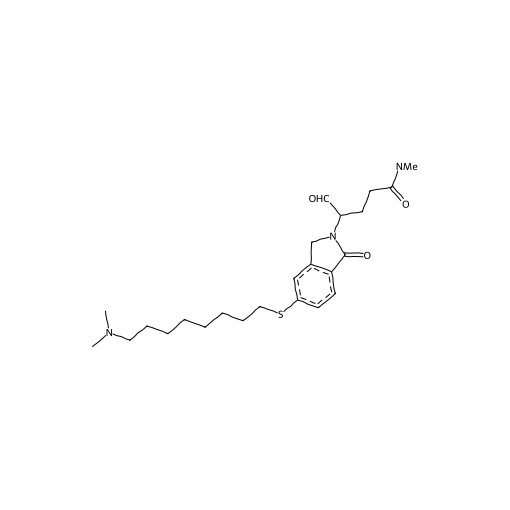 CNC(=O)CCC(C=O)N1Cc2cc(SCCCCCCCCN(C)C)ccc2C1=O